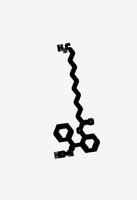 CCCCCCCCCCCC(=O)Oc1ccccc1C(=NO)c1ccccc1